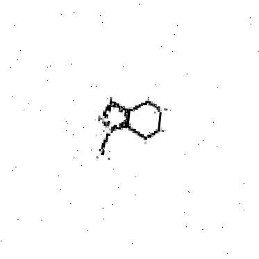 Bn1ncc2c1CCNC2